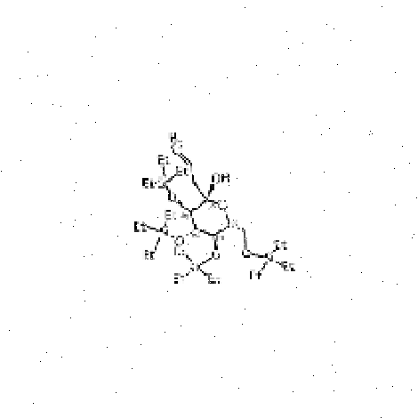 C=CC[C@]1(O)O[C@H](CO[Si](CC)(CC)CC)[C@@H](O[Si](CC)(CC)CC)[C@H](O[Si](CC)(CC)CC)[C@H]1O[Si](CC)(CC)CC